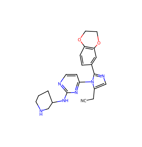 N#CCc1cnc(-c2ccc3c(c2)OCCO3)n1-c1ccnc(NC2CCCNC2)n1